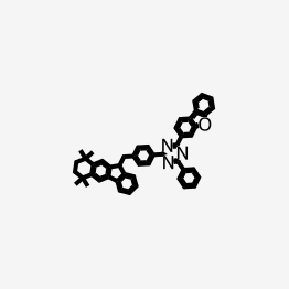 CC1(C)CCC(C)(C)c2cc3c(cc21)-c1ccccc1C3Cc1ccc(-c2nc(-c3ccccc3)nc(-c3ccc4c(c3)oc3ccccc34)n2)cc1